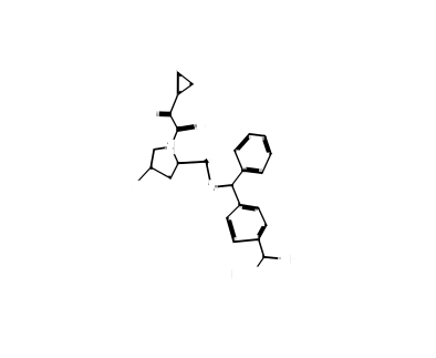 CC(C)c1ccc(C(NC(=O)C2CC(F)CN2C(=O)C(=O)C2CC2)c2ccccc2)cc1